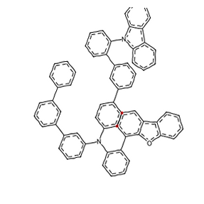 c1ccc(-c2cccc(-c3cccc(N(c4ccc(-c5cccc(-c6ccccc6-n6c7ccccc7c7ccccc76)c5)cc4)c4ccccc4-c4cccc5c4oc4ccccc45)c3)c2)cc1